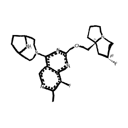 Cc1ncc2c(N3CC4CCC(C3)N4)nc(OC[C@@]34CCCN3C[C@H](F)C4)nc2c1F